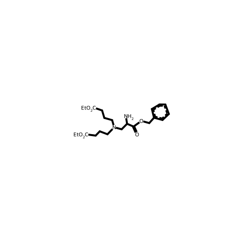 CCOC(=O)CCCN(CCCC(=O)OCC)CC(N)C(=O)OCc1ccccc1